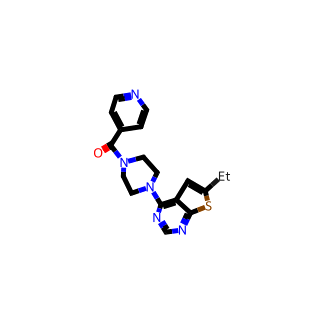 CCc1cc2c(N3CCN(C(=O)c4ccncc4)CC3)ncnc2s1